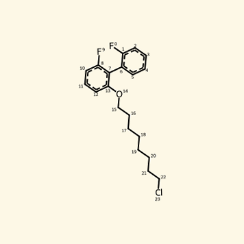 Fc1ccccc1-c1c(F)cccc1OCCCCCCCCCl